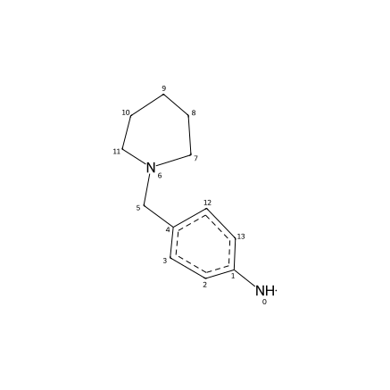 [NH]c1ccc(CN2CCCCC2)cc1